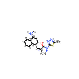 CCc1nnc(NC(=O)/C(C#N)=C\c2ccc(N(C)C)c3ccccc23)s1